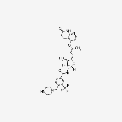 C=C1/C(=C\C=C(/C)Oc2ccnc3c2CCC(=O)N3)O[C@@H]2[C@@H](NC(=O)c3ccc(CN4CCNCC4)c(C(F)(F)F)c3)[C@H]12